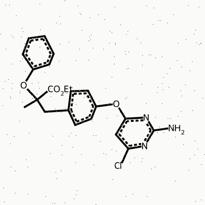 CCOC(=O)C(C)(Cc1ccc(Oc2cc(Cl)nc(N)n2)cc1)Oc1ccccc1